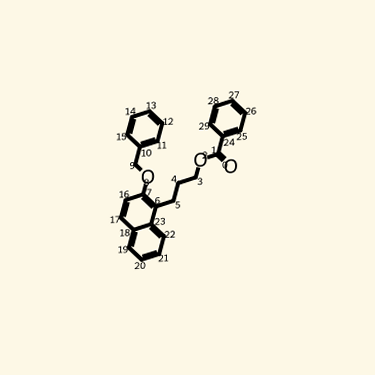 O=C(OCCCc1c(OCc2ccccc2)ccc2ccccc12)c1ccccc1